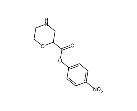 O=C(Oc1ccc([N+](=O)[O-])cc1)C1CNCCO1